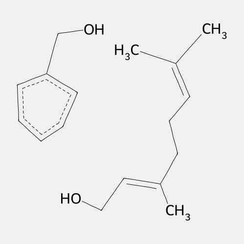 CC(C)=CCCC(C)=CCO.OCc1ccccc1